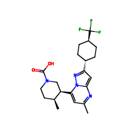 Cc1cc([C@@H]2CN(C(=O)O)CC[C@@H]2C)n2nc([C@H]3CC[C@H](C(F)(F)F)CC3)cc2n1